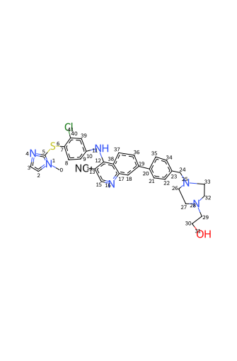 Cn1ccnc1Sc1ccc(Nc2c(C#N)cnc3cc(-c4ccc(CN5CCN(CCO)CC5)cc4)ccc23)cc1Cl